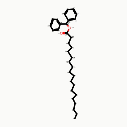 CCCCCCCCCCCCCCCCCCC(=O)OC(c1ccccc1)c1ccccc1